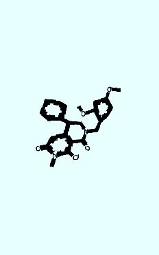 COc1ccc(CN2CC(c3ccccc3)c3cc(=O)n(C)c(Cl)c3C2=O)c(OC)c1